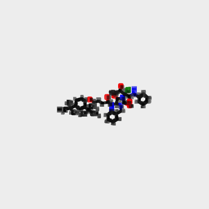 CCC(C)(C)c1ccc(OCCCC(=O)NC2C(=O)N(C(Cl)(C(=O)Nc3ccccc3)C(=O)C(C)(C)C)C(=O)N2Cc2ccccc2)c(C(C)(C)CC)c1